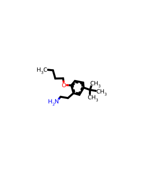 CCCCOc1ccc(C(C)(C)C)cc1CCN